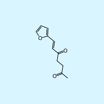 CC(=O)CCC(=O)/C=C/c1ccco1